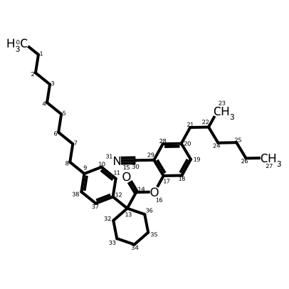 CCCCCCCCCc1ccc(C2(C(=O)Oc3ccc(CC(C)CCCC)cc3C#N)CCCCC2)cc1